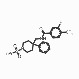 CCCS(=O)(=O)N1CCC(CNC(=O)c2ccc(C(F)(F)F)c(F)c2)(c2ccccc2)CC1